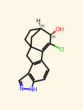 O[C@H]1C(Cl)=C2c3ccc4[nH]ncc4c3CC23CC[C@@H]1C3